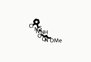 COCc1cc(C(=O)Nc2nnc(-c3ccccc3Cl)s2)on1